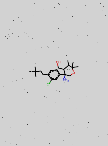 CC1C(CO)C(N)(c2ccc(CCC(C)(C)C)c(Cl)c2)COC1(C)C